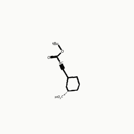 CC(C)(C)OC(=O)[N+]#CC1CCC[C@H](C(=O)O)C1